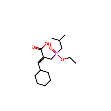 CCOP(=O)(CC(=CC1CCCCC1)C(=O)O)CC(C)C